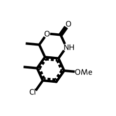 COc1cc(Cl)c(C)c2c1NC(=O)OC2C